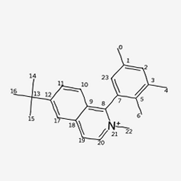 Cc1cc(C)c(C)c(-c2c3ccc(C(C)(C)C)cc3cc[n+]2C)c1